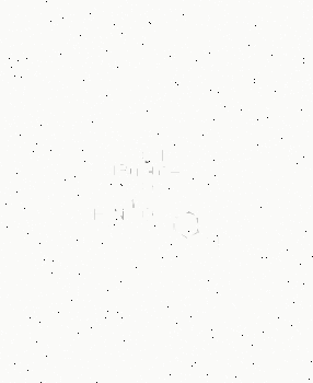 CC(C)(C)[Si](C)(C)OCC(OC(N)=O)c1ccc(Cl)cc1